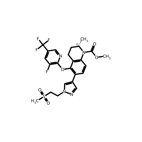 COC(=O)N1c2ccc(-c3cnn(CCS(C)(=O)=O)c3)c(Oc3ncc(C(F)(F)F)cc3F)c2CC[C@@H]1C